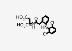 O=C(O)C[C@@H](NC(=O)Cc1ccccc1Nc1c(Cl)cccc1Cl)C(=O)O